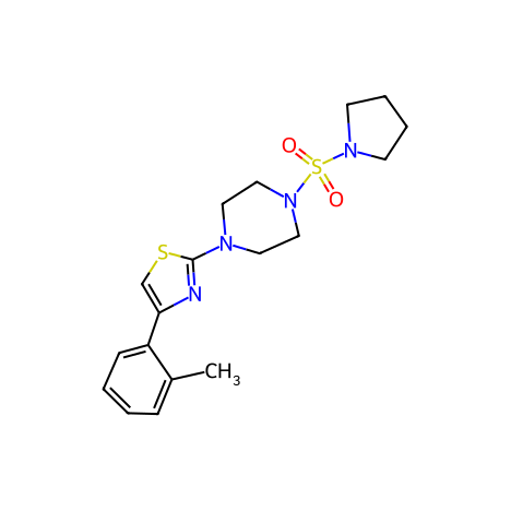 Cc1ccccc1-c1csc(N2CCN(S(=O)(=O)N3CCCC3)CC2)n1